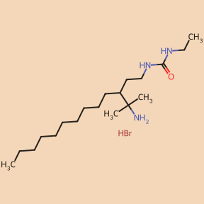 Br.CCCCCCCCCCC(CCNC(=O)NCC)C(C)(C)N